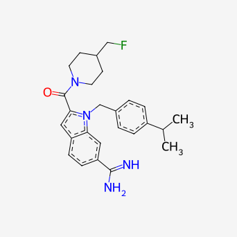 CC(C)c1ccc(Cn2c(C(=O)N3CCC(CF)CC3)cc3ccc(C(=N)N)cc32)cc1